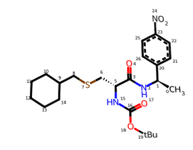 C[C@@H](NC(=O)[C@@H](CSCC1CCCCC1)NC(=O)OC(C)(C)C)c1ccc([N+](=O)[O-])cc1